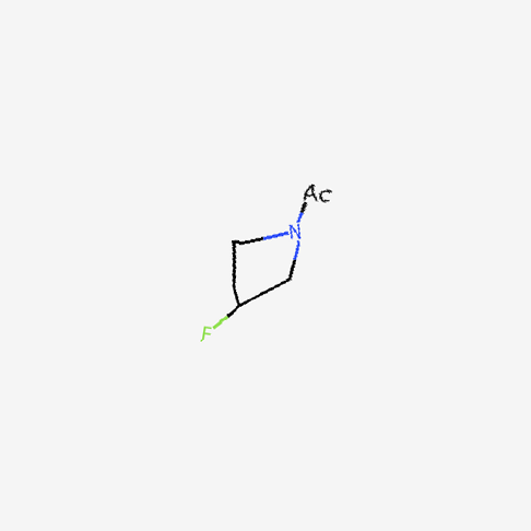 CC(=O)N1CC(F)C1